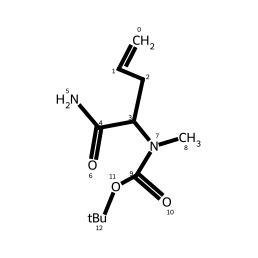 C=CCC(C(N)=O)N(C)C(=O)OC(C)(C)C